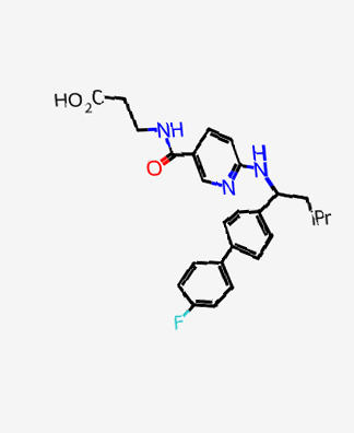 CC(C)CC(Nc1ccc(C(=O)NCCC(=O)O)cn1)c1ccc(-c2ccc(F)cc2)cc1